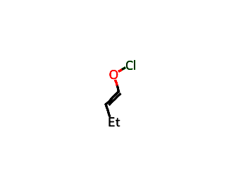 CCC=COCl